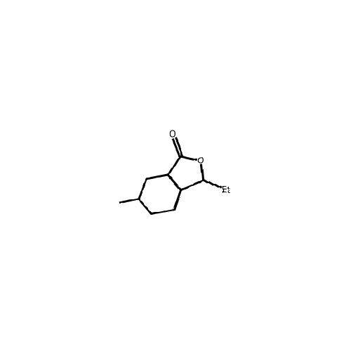 CCC1OC(=O)C2CC(C)CCC12